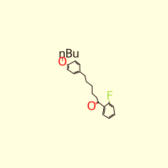 CCCCOc1ccc(CCCCCC(=O)c2ccccc2F)cc1